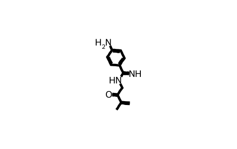 C=C(C)C(=O)CNC(=N)c1ccc(N)cc1